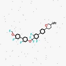 CCCC1CCC(c2ccc(-c3cc(F)c(C(F)(F)Oc4ccc(-c5ccc(OCF)c(F)c5)c(F)c4)c(F)c3)cc2)OC1